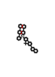 CC1(C)c2cc(-c3ccc4ccccc4c3)ccc2-c2ccc(N(c3ccc(-c4ccccc4)cc3)c3ccccc3-c3ccc(-c4ccccc4)cc3)cc21